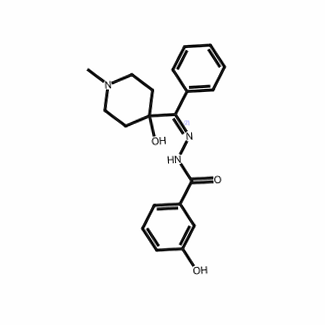 CN1CCC(O)(/C(=N\NC(=O)c2cccc(O)c2)c2ccccc2)CC1